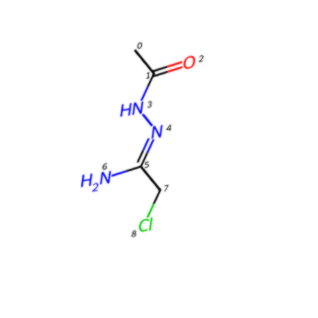 CC(=O)N/N=C(\N)CCl